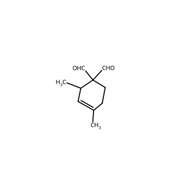 CC1=CC(C)C(C=O)(C=O)CC1